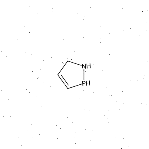 C1=CPNC1